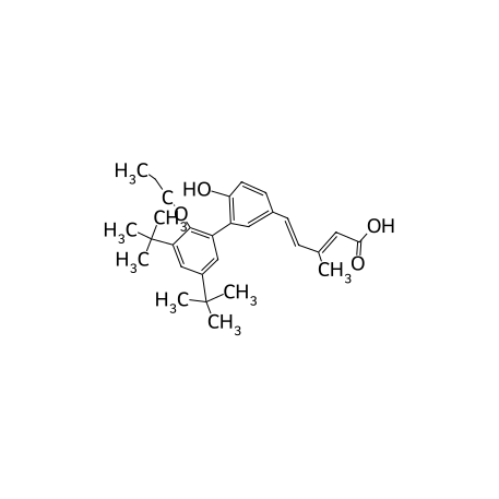 CCCOc1c(-c2cc(C=CC(C)=CC(=O)O)ccc2O)cc(C(C)(C)C)cc1C(C)(C)C